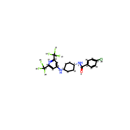 O=C(N[C@H]1CC[C@@H](Nc2cc(C(F)(F)F)nc(C(F)(F)F)c2)CC1)c1ccc(Cl)cc1